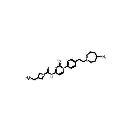 NCC1CN(C(=O)Nc2ccn(-c3ccc(CCN4CCCC(N)CC4)cc3)c(=O)n2)C1